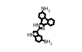 Bc1ccc2[nH]cc(-c3nc4c5ccccc5c5cc(N)ccc5c4[nH]3)c2c1